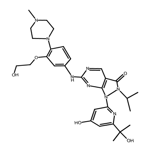 CC(C)n1c(=O)c2cnc(Nc3ccc(N4CCN(C)CC4)c(OCCO)c3)nc2n1-c1cc(O)cc(C(C)(C)O)n1